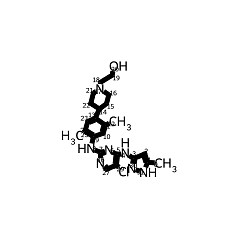 Cc1cc(Nc2nc(Nc3cc(C)c(C4CCN(CCO)CC4)cc3C)ncc2Cl)n[nH]1